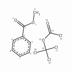 COC(=O)c1ccccc1.O=C(Cl)OC(Cl)(Cl)Cl